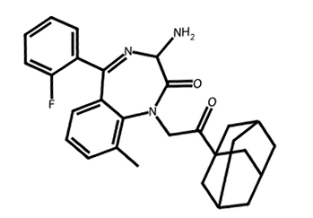 Cc1cccc2c1N(CC(=O)C13CC4CC(CC(C4)C1)C3)C(=O)C(N)N=C2c1ccccc1F